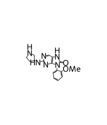 COc1ccccc1-n1c(=O)[nH]c2cnc(N[C@H]3CCNC3)nc21